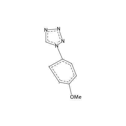 COc1[c]cc(-n2cnnn2)cc1